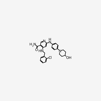 NC(=O)c1cnc(Nc2ccc(N3CCC(O)CC3)cc2)cc1NCc1ccccc1Cl